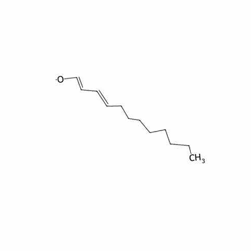 CCCCCCCC/C=C/C=C/[O]